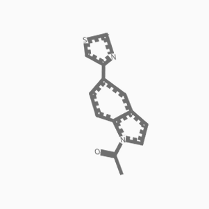 CC(=O)n1ccc2cc(-c3cs[c]n3)ccc21